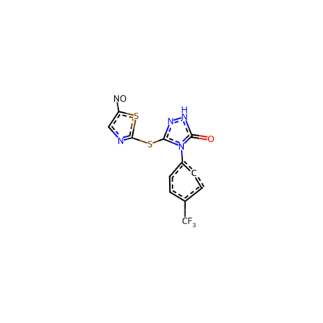 O=Nc1cnc(Sc2n[nH]c(=O)n2-c2ccc(C(F)(F)F)cc2)s1